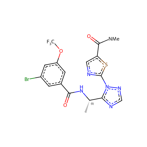 CNC(=O)c1cnc(-n2ncnc2[C@H](C)NC(=O)c2cc(Br)cc(OC(F)(F)F)c2)s1